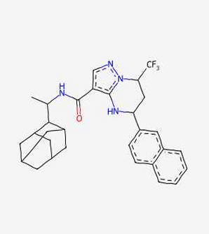 CC(NC(=O)c1cnn2c1NC(c1ccc3ccccc3c1)CC2C(F)(F)F)C1C2CC3CC(C2)CC1C3